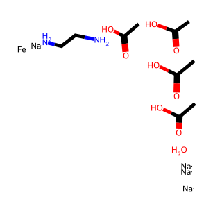 CC(=O)O.CC(=O)O.CC(=O)O.CC(=O)O.NCCN.O.[Fe].[Na].[Na].[Na].[Na]